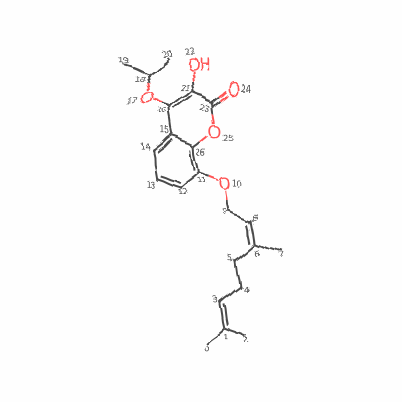 CC(C)=CCCC(C)=CCOc1cccc2c(OC(C)C)c(O)c(=O)oc12